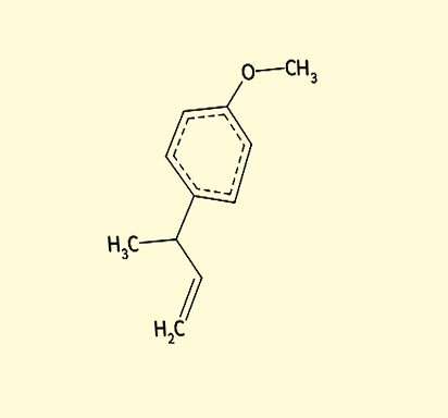 C=CC(C)c1ccc(OC)cc1